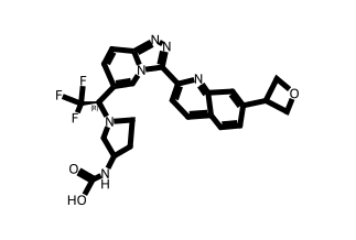 O=C(O)NC1CCN([C@H](c2ccc3nnc(-c4ccc5ccc(C6COC6)cc5n4)n3c2)C(F)(F)F)C1